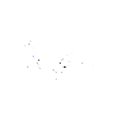 COCCCOc1cc(C[C@@H](CCCC[C@H](C(=O)NCC(C)(C)C(N)=O)C(C)C)C(C)C)ccc1OC